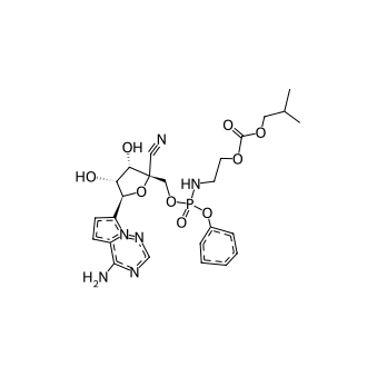 CC(C)COC(=O)OCCNP(=O)(OC[C@@]1(C#N)O[C@@H](c2ccc3c(N)ncnn23)[C@H](O)[C@@H]1O)Oc1ccccc1